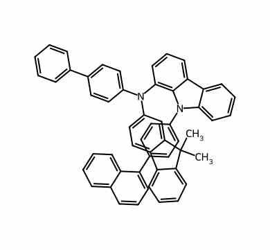 CC1(C)c2ccccc2-c2ccc(N(c3ccc(-c4ccccc4)cc3)c3cccc4c5ccccc5n(-c5ccc(-c6cccc7ccccc67)cc5)c34)cc21